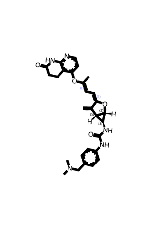 C=C1/C(=C\C=C(/C)Oc2ccnc3c2CCC(=O)N3)O[C@@H]2[C@@H](NC(=O)Nc3ccc(CN(C)C)cc3)[C@H]12